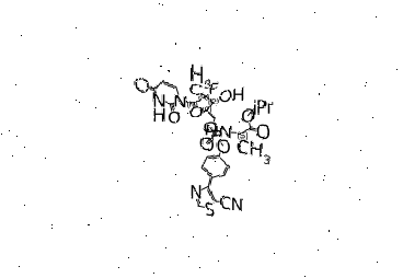 CC(C)OC(=O)[C@H](C)NP(=O)(OC[C@H]1O[C@@H](n2ccc(=O)[nH]c2=O)[C@](C)(F)[C@@H]1O)Oc1ccc(-c2ncsc2C#N)cc1